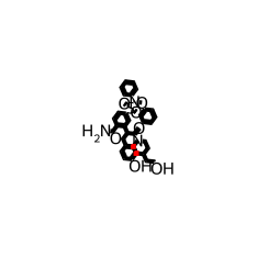 NC(=O)c1ccc(S(=O)(=O)N(Oc2ccccc2)c2ccccc2)cc1C(Cc1ccc(O)cc1)C(=O)N1CCC(CCO)CC1